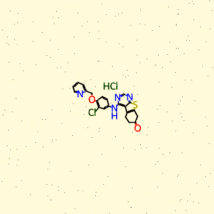 Cl.O=C1CCc2c(sc3ncnc(Nc4ccc(OCc5ccccn5)c(Cl)c4)c23)C1